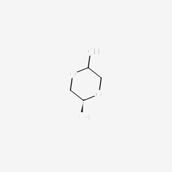 CC1CO[C@@H](C)CO1